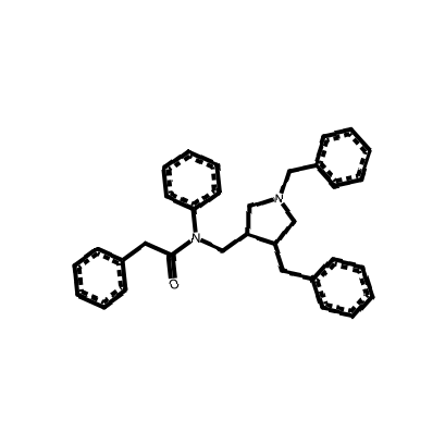 O=C(Cc1ccccc1)N(CC1CN(Cc2ccccc2)CC1Cc1ccccc1)c1ccccc1